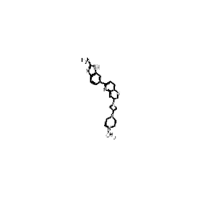 CN1CCN(C2CN(c3cnc4ccc(-c5ccc6nc(N)[nH]c6c5)nc4c3)C2)CC1